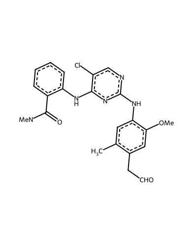 CNC(=O)c1ccccc1Nc1nc(Nc2cc(C)c(CC=O)cc2OC)ncc1Cl